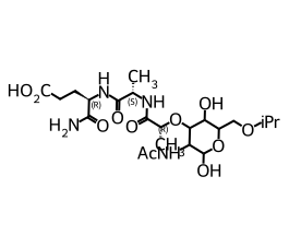 CC(=O)NC1C(O)OC(COC(C)C)C(O)C1O[C@H](C)C(=O)N[C@@H](C)C(=O)N[C@H](CCC(=O)O)C(N)=O